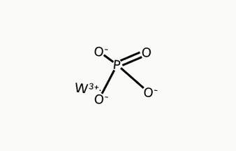 O=P([O-])([O-])[O-].[W+3]